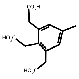 Cc1cc(CC(=O)O)c(CC(=O)O)c(CC(=O)O)c1